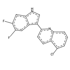 Fc1cc2[nH]cc(-c3ccc4c(Cl)cccc4n3)c2cc1F